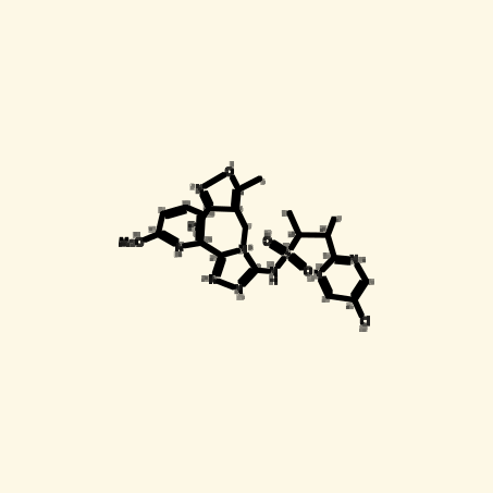 CCc1noc(C)c1Cn1c(NS(=O)(=O)C(C)C(C)c2ncc(Cl)cn2)nnc1-c1cccc(OC)n1